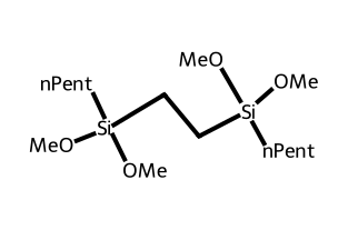 CCCCC[Si](CC[Si](CCCCC)(OC)OC)(OC)OC